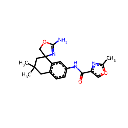 Cc1nc(C(=O)Nc2ccc3c(c2)C2(COC(N)=N2)CC(C)(C)C3)co1